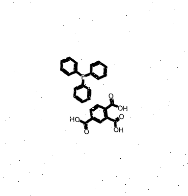 O=C(O)c1ccc(C(=O)O)c(C(=O)O)c1.c1ccc(P(c2ccccc2)c2ccccc2)cc1